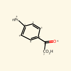 CCCc1ccc(C(=O)C(=O)O)cc1